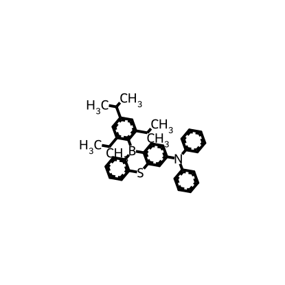 CC(C)c1cc(C(C)C)c(B2c3ccccc3Sc3cc(N(c4ccccc4)c4ccccc4)ccc32)c(C(C)C)c1